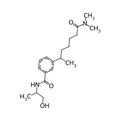 CC(CO)NC(=O)c1cccc(C(C)CCCCC(=O)N(C)C)c1